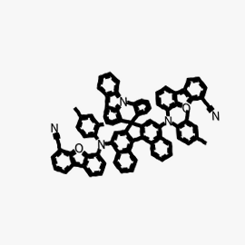 Cc1ccc(N(c2cc3c(c4ccccc24)-c2c(cc(N(c4ccc(C)cc4C)c4cccc5c4oc4c(C#N)cccc45)c4ccccc24)C32c3ccccc3-n3c4ccccc4c4cccc2c43)c2cccc3c2oc2c(C#N)cccc23)c(C)c1